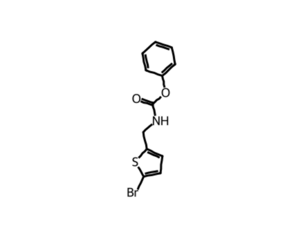 O=C(NCc1ccc(Br)s1)Oc1ccccc1